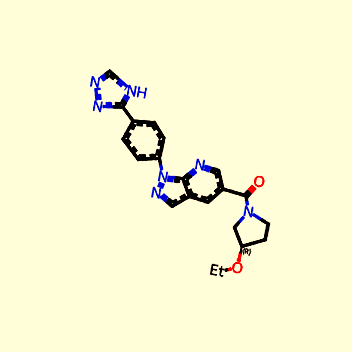 CCO[C@@H]1CCN(C(=O)c2cnc3c(cnn3-c3ccc(-c4nnc[nH]4)cc3)c2)C1